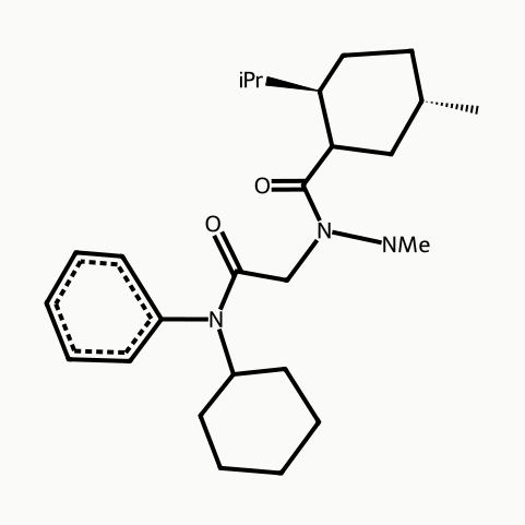 CNN(CC(=O)N(c1ccccc1)C1CCCCC1)C(=O)C1C[C@@H](C)CC[C@@H]1C(C)C